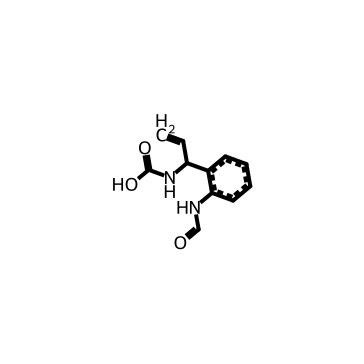 C=CC(NC(=O)O)c1ccccc1NC=O